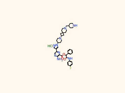 Cl.Nc1ncc(-c2cnn(C3CCN(C4CC5(CCN(CC6CCNCC6)CC5)C4)CC3)c2)nc1C(=O)O[C@@H](C(=O)Nc1ccc(F)cc1)c1ccccc1